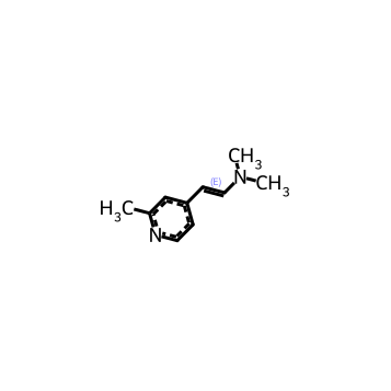 Cc1cc(/C=C/N(C)C)ccn1